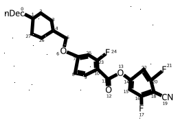 CCCCCCCCCCC1CCC(COc2ccc(C(=O)Oc3cc(F)c(C#N)c(F)c3)c(F)c2)CC1